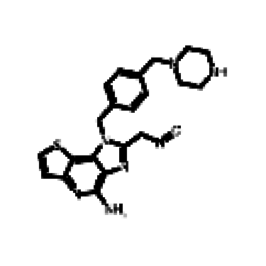 Nc1nc2ccsc2c2c1nc(CN=O)n2Cc1ccc(CN2CCNCC2)cc1